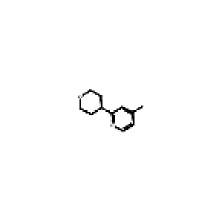 Cc1ccnc(C2CCOCC2)c1